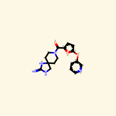 N=C1NCC2(CCN(C(=O)c3ccc(Oc4cccnc4)o3)CC2)N1